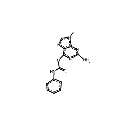 Cn1cnc2c(OC(=O)Nc3ccccc3)nc(N)nc21